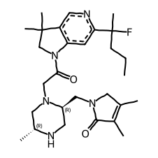 CCCC(C)(F)c1cc2c(cn1)C(C)(C)CN2C(=O)CN1C[C@@H](C)NC[C@@H]1CN1CC(C)=C(C)C1=O